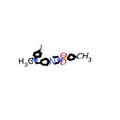 Cc1ccc(S(=O)(=O)N2CCN(C3CCC(CN(C)c4ccc(I)cc4)CC3)CC2)cc1